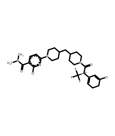 CN(C)C(=O)c1ccc(N2CCC(CC3CCN(C(=O)[C@@H](C4=CCCC(Cl)=C4)C(F)(F)F)CC3)CC2)nc1Cl